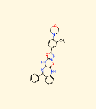 Cc1cc(-c2nnc(NC3N=C(c4ccccc4)c4ccccc4NC3=O)o2)ccc1N1CCOCC1